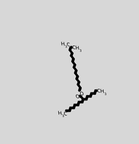 CCCCCCCCCC(CCCCCCC)C(=O)OCCCCCCCCCCCCCCCC(C)C